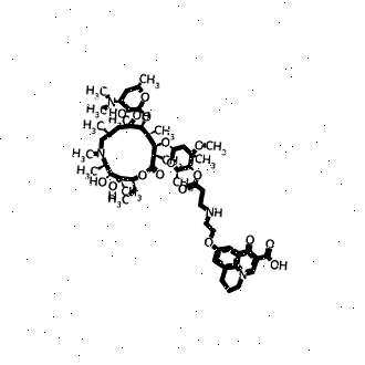 CC[C@@H]1OC(=O)[C@H](C)[C@H](O[C@@H]2C[C@](C)(OC)[C@H](OC(=O)CCNCCOc3cc4c5c(c3)c(=O)c(C(=O)O)cn5CCC4)[C@H](C)O2)[C@@H](C)[C@H](O[C@@H]2O[C@H](C)C[C@H](N(C)C)[C@@H]2O)[C@](C)(O)C[C@H](C)CN(C)[C@H](C)[C@@H](O)[C@]1(C)O